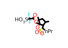 CCCC1C2C(C)CC(C)(OC(=O)C(F)(F)S(=O)(=O)O)C2(C)OS1(=O)=O